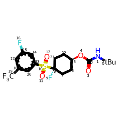 CC(C)(C)NC(=O)O[C@H]1CC[C@@](F)(S(=O)(=O)c2cc(F)cc(C(F)(F)F)c2)CC1